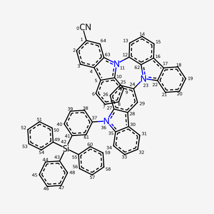 N#Cc1ccc2c3ccccc3n(-c3cccc4c5ccccc5n(-c5ccc6c(c5)c5ccccc5n6-c5cccc([Si](c6ccccc6)(c6ccccc6)c6ccccc6)c5)c34)c2c1